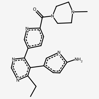 CCc1ncnc(-c2ccc(C(=O)N3CCN(C)CC3)nc2)c1-c1ccc(N)nc1